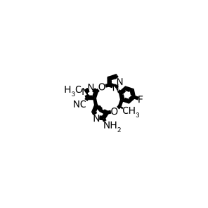 C[C@H]1Oc2cc(cnc2N)-c2c(nn(C)c2C#N)Oc2ccnn2-c2ccc(F)cc21